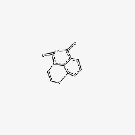 O=c1[nH]c(=O)n2c3c(cccc13)SC=C2